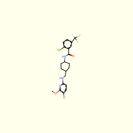 COc1nc(NCC2CCC(NC(=O)c3cc(C(F)(F)F)ccc3Cl)CC2)ccc1Cl